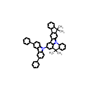 CC1(C)c2ccccc2-c2cc3c4cc(-n5c6ccc(-c7ccccc7)cc6c6cc(-c7ccccc7)ccc65)cc5c4n(c3cc21)-c1ccccc1C5(C)C